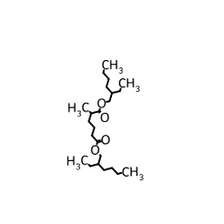 CCCCC(CC)COC(=O)CCCC(C)C(=O)OCC(CC)CCCC